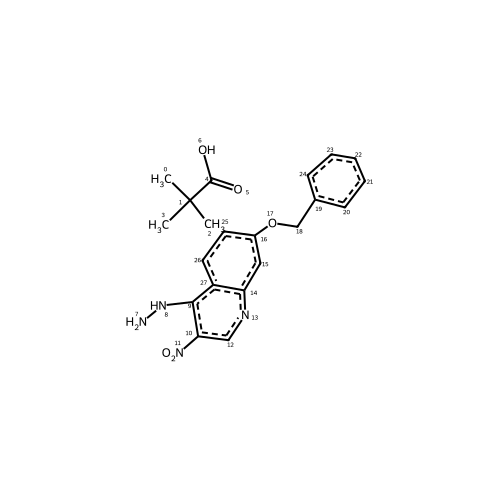 CC(C)(C)C(=O)O.NNc1c([N+](=O)[O-])cnc2cc(OCc3ccccc3)ccc12